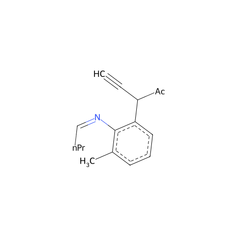 C#CC(C(C)=O)c1cccc(C)c1/N=C\CCC